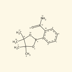 CC1(C)OB(c2ccccc2C(N)=O)OC1(C)C